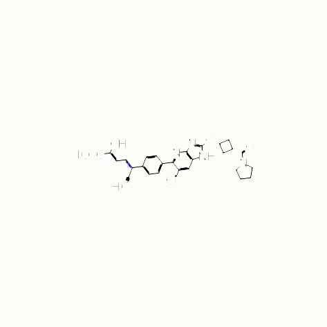 C#C/C(=C\C=C(/C)C(=O)O)c1ccc(-c2nc3nc(O[C@H]4C[C@@H](C(=O)N5CCCC5)C4)[nH]c3cc2Cl)cc1